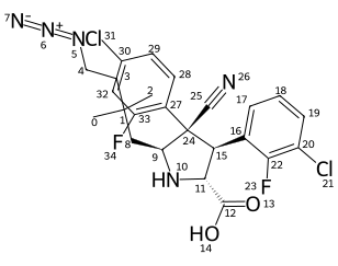 CC(C)(CCN=[N+]=[N-])C[C@@H]1N[C@@H](C(=O)O)[C@H](c2cccc(Cl)c2F)[C@@]1(C#N)c1ccc(Cl)cc1F